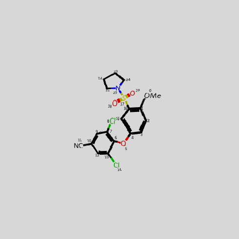 COc1ccc(Oc2c(Cl)cc(C#N)cc2Cl)cc1S(=O)(=O)N1CCCC1